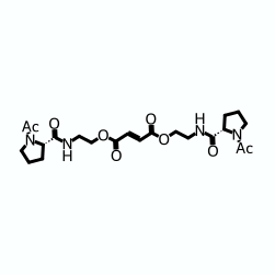 CC(=O)N1CCC[C@H]1C(=O)NCCOC(=O)/C=C/C(=O)OCCNC(=O)[C@@H]1CCCN1C(C)=O